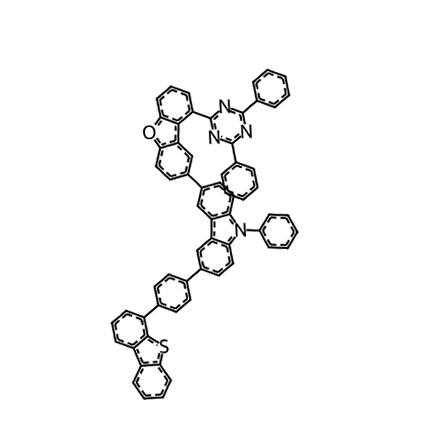 c1ccc(-c2nc(-c3ccccc3)nc(-c3cccc4oc5ccc(-c6ccc7c(c6)c6cc(-c8ccc(-c9cccc%10c9sc9ccccc9%10)cc8)ccc6n7-c6ccccc6)cc5c34)n2)cc1